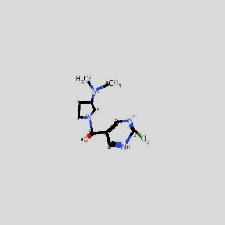 CN(C)C1CCN(C(=O)c2cnc(Cl)nc2)C1